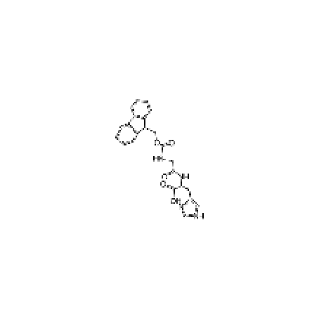 O=C(CNC(=O)OCC1c2ccccc2-c2ccccc21)N[C@@H](Cc1c[nH]cn1)C(=O)O